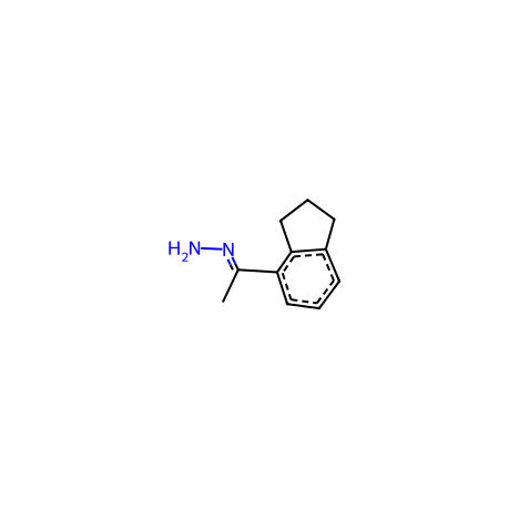 CC(=NN)c1cccc2c1CCC2